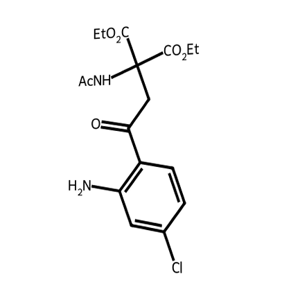 CCOC(=O)C(CC(=O)c1ccc(Cl)cc1N)(NC(C)=O)C(=O)OCC